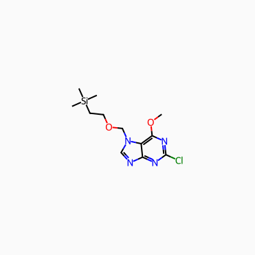 COc1nc(Cl)nc2ncn(COCC[Si](C)(C)C)c12